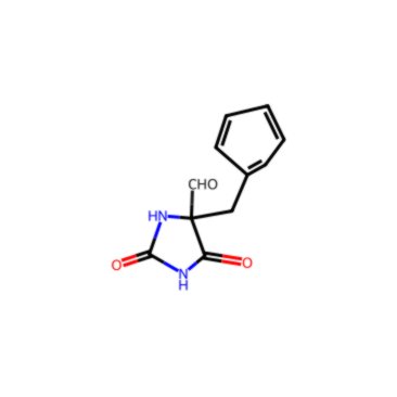 O=CC1(Cc2ccccc2)NC(=O)NC1=O